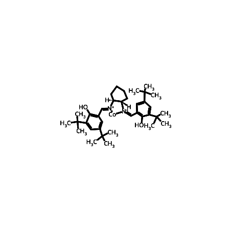 CC(C)(C)c1cc(C=[N+]2[Co][N+](=Cc3cc(C(C)(C)C)cc(C(C)(C)C)c3O)[C@H]3CCCC[C@@H]32)c(O)c(C(C)(C)C)c1